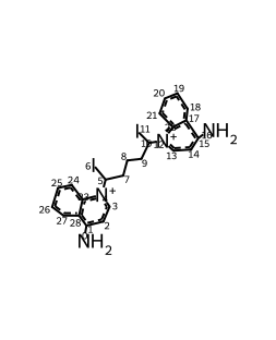 Nc1cc[n+](C(I)CCCC(I)[n+]2ccc(N)c3ccccc32)c2ccccc12